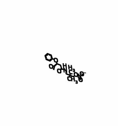 CC(C)(CNC(=O)CC(Oc1ccccc1)C1CO1)CO[N+](=O)[O-]